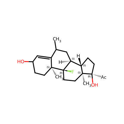 CC(=O)[C@@]1(O)CC[C@H]2[C@@H]3CC(C)C4=CC(O)CC[C@]4(C)[C@@]3(F)CC[C@@]21C